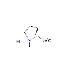 CSC1=CCCN1C.I